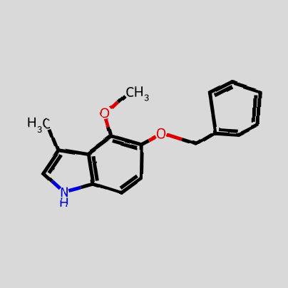 COc1c(OCc2ccccc2)ccc2[nH]cc(C)c12